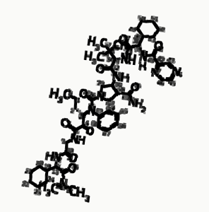 CCC[C@@H](C(=O)C(=O)NCC(=O)N[C@H](C(=O)N(C)C)C1CCCCC1)N(C(=O)N1CC(NC(=O)[C@@H](NC(=O)[C@@H](NC(=O)c2cnccn2)C2CCCCC2)C(C)(C)C)C(C(N)=O)C1)c1ccccc1